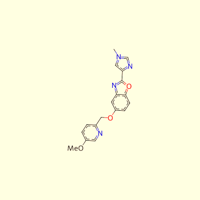 COc1ccc(COc2ccc3oc(-c4cn(C)cn4)nc3c2)nc1